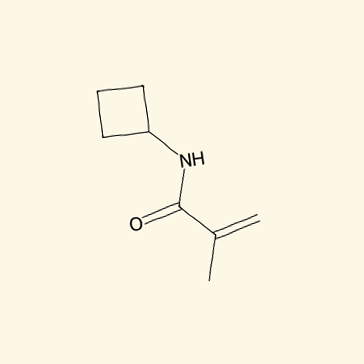 C=C(C)C(=O)NC1CCC1